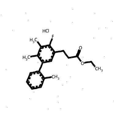 CCOC(=O)CCc1cc(-c2ccccc2C)c(C)c(C)c1F.Cl